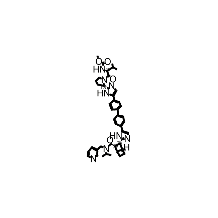 COC(=O)N[C@H](C(=O)N1CCC[C@H]1c1ncc(-c2ccc(-c3ccc(-c4cnc([C@H]5[C@H](C(=O)N(Cc6cccnc6)C(C)C)C6CC[C@@H]65)[nH]4)cc3)cc2)[nH]1)C(C)C